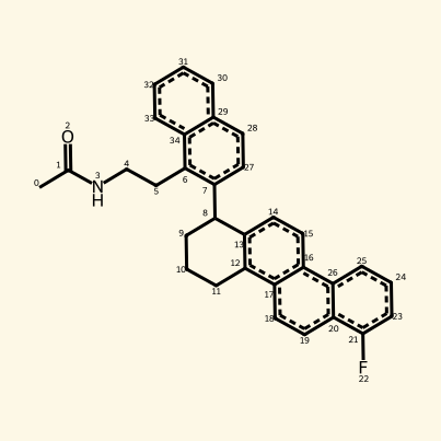 CC(=O)NCCc1c(C2CCCc3c2ccc2c3ccc3c(F)cccc32)ccc2ccccc12